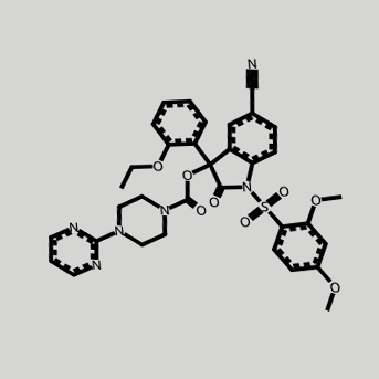 CCOc1ccccc1C1(OC(=O)N2CCN(c3ncccn3)CC2)C(=O)N(S(=O)(=O)c2ccc(OC)cc2OC)c2ccc(C#N)cc21